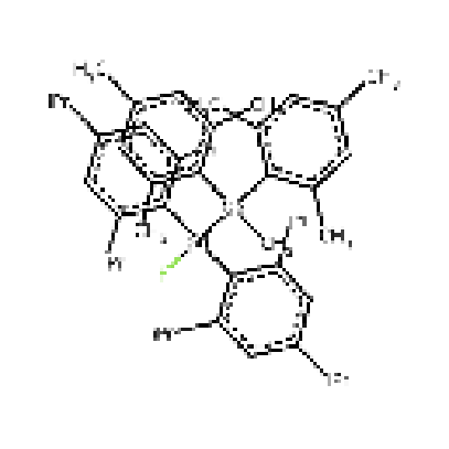 Cc1cc(C)[c]([Ge]([CH3])([c]2c(C)cc(C)cc2C)[Sn]([F])([c]2c(C(C)C)cc(C(C)C)cc2C(C)C)[c]2c(C(C)C)cc(C(C)C)cc2C(C)C)c(C)c1